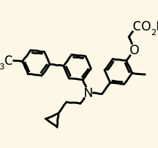 Cc1cc(CN(CCC2CC2)c2cccc(-c3ccc(C(F)(F)F)cc3)c2)ccc1OCC(=O)O